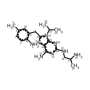 Cc1ccc(N)c(Cc2nc3c(N)nc(NCC(C)N)nc3n2C(C)C)c1